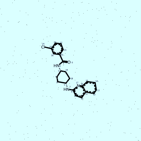 O=C(N[C@H]1CC[C@@H](Nc2ccc3ccccc3n2)CC1)c1cccc(Cl)c1